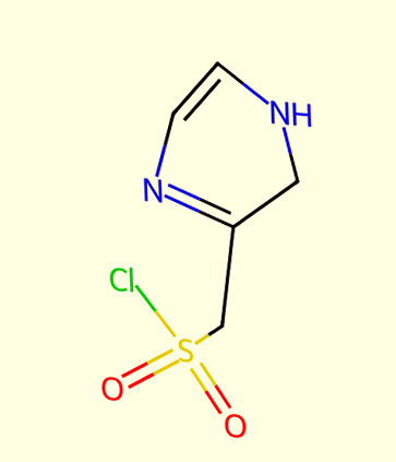 O=S(=O)(Cl)CC1=NC=CNC1